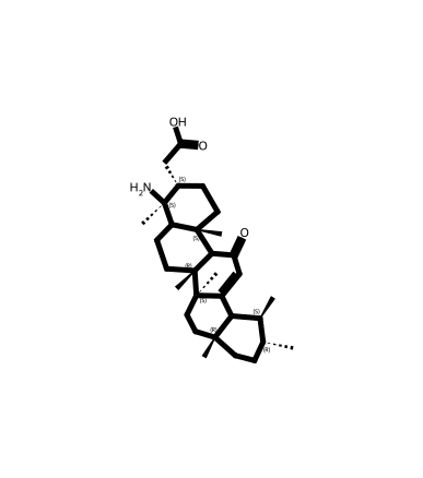 C[C@@H]1CC[C@]2(C)CC[C@]3(C)C(=CC(=O)C4[C@@]5(C)CC[C@@H](CC(=O)O)[C@](C)(N)C5CC[C@]43C)C2[C@H]1C